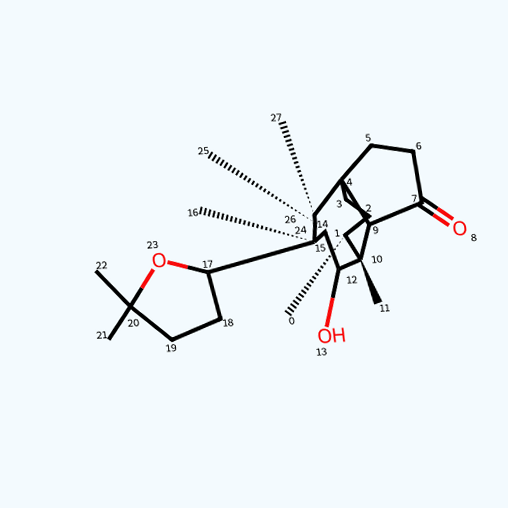 C[C@@H]1CCC23CCC(=O)C2[C@]1(C)C(O)C[C@@](C)(C1CCC(C)(C)O1)[C@@H](C)[C@@H]3C